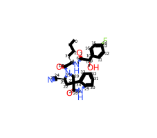 CCCC[C@H](NC(=O)[C@@H](O)c1ccc(F)cc1)C(=O)N1CC2(C[C@H]1C#N)C(=O)Nc1ccccc12